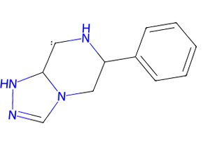 [C]1NC(c2ccccc2)CN2C=NNC12